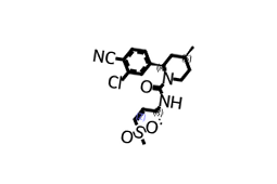 C[C@H]1CCN(C(=O)N[C@H](C)/C=C\S(C)(=O)=O)[C@@H](c2ccc(C#N)c(Cl)c2)C1